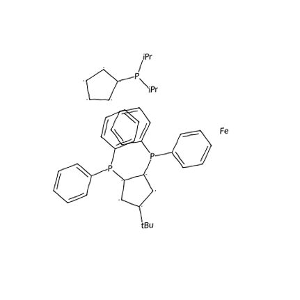 CC(C)(C)[C]1[CH][C](P(c2ccccc2)c2ccccc2)[C](P(c2ccccc2)c2ccccc2)[CH]1.CC(C)P([C]1[CH][CH][CH][CH]1)C(C)C.[Fe]